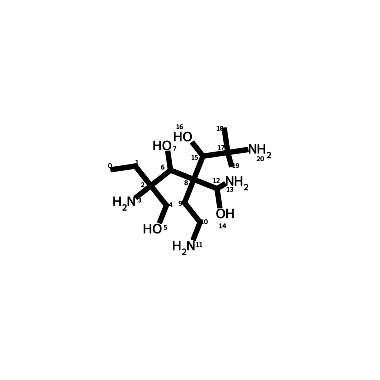 CCC(N)(CO)C(O)C(CCN)(C(N)O)C(O)C(C)(C)N